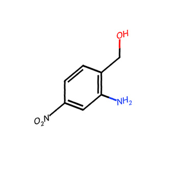 Nc1cc([N+](=O)[O-])ccc1CO